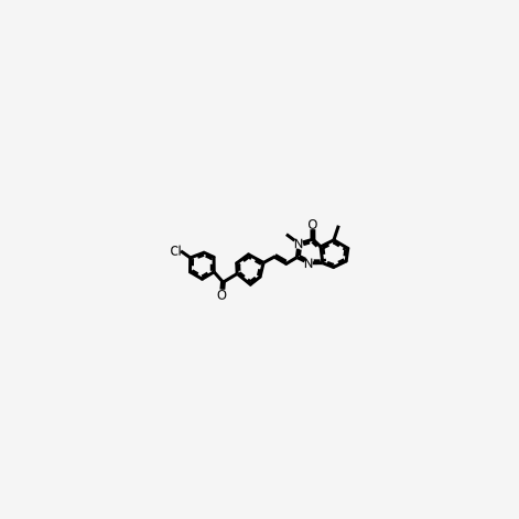 Cc1cccc2nc(/C=C/c3ccc(C(=O)c4ccc(Cl)cc4)cc3)n(C)c(=O)c12